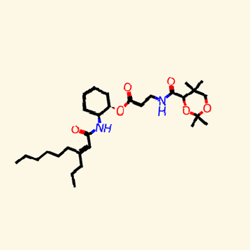 CCCCCCC(=CC(=O)N[C@H]1CCCC[C@@H]1OC(=O)CCNC(=O)C1OC(C)(C)OCC1(C)C)CCC